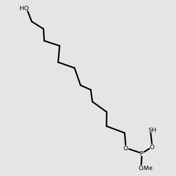 COP(OS)OCCCCCCCCCCCCO